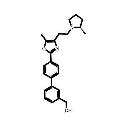 Cc1oc(-c2ccc(-c3cccc(CO)c3)cc2)nc1CCN1CCC[C@H]1C